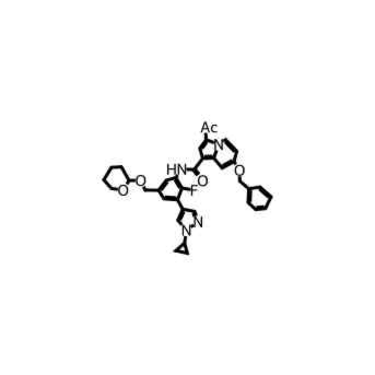 CC(=O)c1cc(C(=O)Nc2cc(COC3CCCCO3)cc(-c3cnn(C4CC4)c3)c2F)c2cc(OCc3ccccc3)ccn12